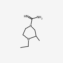 CCN1CCN(C(=N)N)CC1C